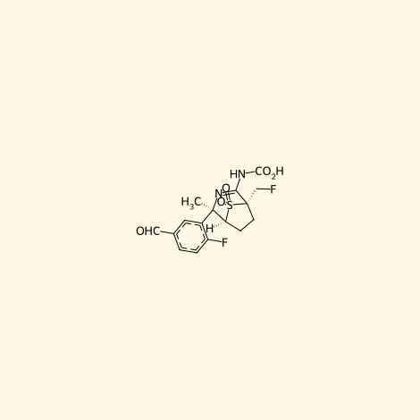 C[C@]1(c2cc(C=O)ccc2F)N=C(NC(=O)O)[C@@]2(CF)CC[C@@H]1S2(=O)=O